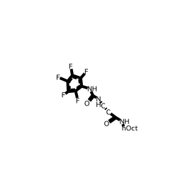 CCCCCCCCNC(=O)CCNC(=O)Nc1c(F)c(F)c(F)c(F)c1F